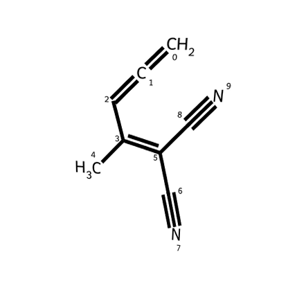 C=C=CC(C)=C(C#N)C#N